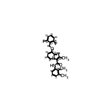 Cc1cccc(NC(=O)c2c(C)nc3c(OCc4c(F)cccc4F)cccn23)c1C